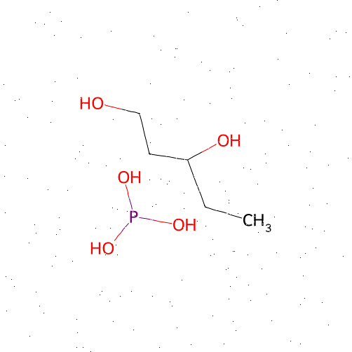 CCC(O)CCO.OP(O)O